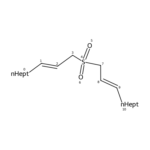 CCCCCCCC=CCS(=O)(=O)CC=CCCCCCCC